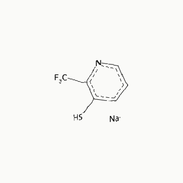 FC(F)(F)c1ncccc1S.[Na]